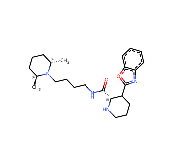 C[C@H]1CCC[C@H](C)N1CCCCNC(=O)[C@H]1NCCCC1c1nc2ccccc2o1